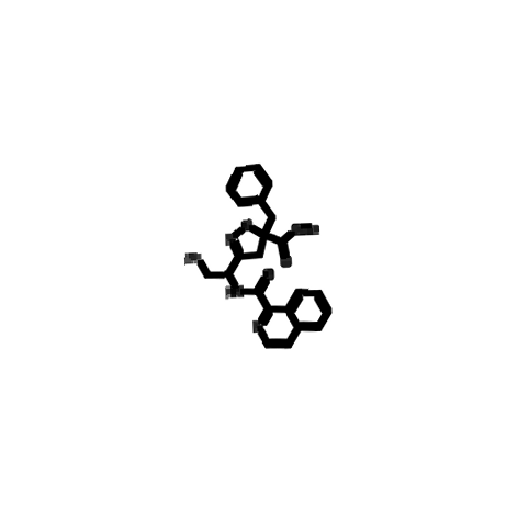 COC(=O)C1(Cc2ccccc2)CC(C(CC(C)C)NC(=O)c2nccc3ccccc23)=NO1